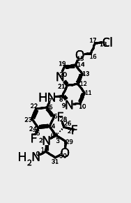 NC1=N[C@](c2cc(Nc3nccc4cc(OCCCl)cnc34)ccc2F)(C(F)F)COC1